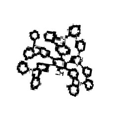 N#Cc1c(-c2ccc3c(c2)c2ccccc2n3-c2ccccc2)c(-c2ccc3c(c2)c2ccccc2n3-c2ccccc2)c(-c2ccc3c(c2)c2ccccc2n3-c2ccccc2)c(-c2cc(-c3ccccc3)nc(-c3ccccc3)n2)c1-c1ccc2c(c1)c1ccccc1n2-c1ccccc1